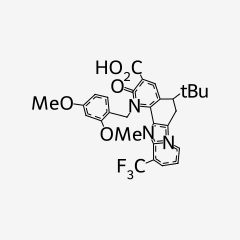 COc1ccc(Cn2c3c(cc(C(=O)O)c2=O)C(C(C)(C)C)Cc2c-3nc3c(C(F)(F)F)cccn23)c(OC)c1